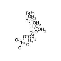 O.O.O.O.O.O.O.O.O=P([O-])([O-])[O-].[Fe+3]